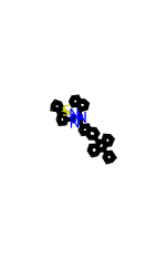 c1ccc(-c2c3ccccc3c(-c3ccc4cc(-c5nc(-c6cccc7ccccc67)nc(-c6cccc7c6sc6ccccc67)n5)ccc4c3)c3ccccc23)cc1